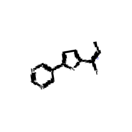 [CH2]/C=C(/F)c1ccc(-c2cncnc2)s1